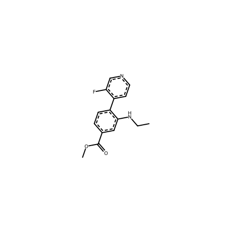 CCNc1cc(C(=O)OC)ccc1-c1ccncc1F